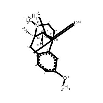 COc1ccc2c(c1)[C@]13CCN(C)[C@H](C2)[C@@H]1C(C)CC(=O)C3